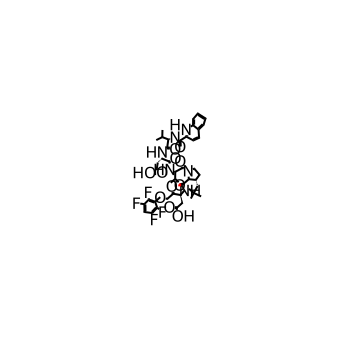 CC(C)[C@H](NC(=O)c1ccc2ccccc2n1)C(=O)N[C@@H](CC(=O)O)C(=O)N[C@H](C(=O)N1CC[C@H](CC(C)(C)C)C1C(=O)N[C@@H](CC(=O)O)C(=O)COc1c(F)c(F)cc(F)c1F)C(C)C